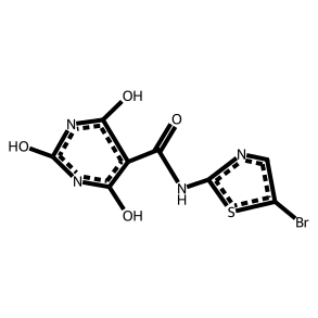 O=C(Nc1ncc(Br)s1)c1c(O)nc(O)nc1O